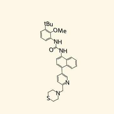 COc1c(NC(=O)Nc2ccc(-c3ccc(CN4CCSCC4)nc3)c3ccccc23)cccc1C(C)(C)C